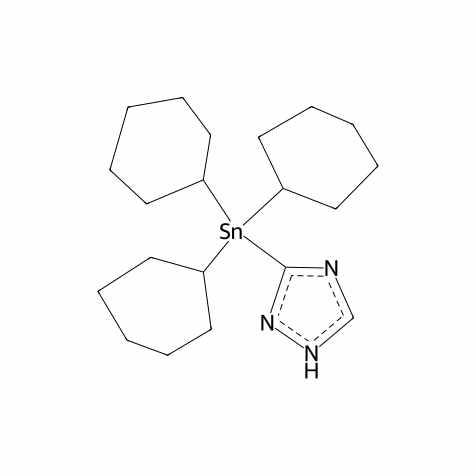 c1n[c]([Sn]([CH]2CCCCC2)([CH]2CCCCC2)[CH]2CCCCC2)n[nH]1